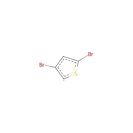 Brc1[c]sc(Br)c1